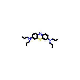 CCCN(CCC)c1ccc2c(c1)SC1=CC(N(CCC)CCC)C=CC1=N2